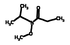 CCC(=O)N(OC)C(C)C